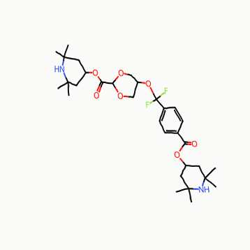 CC1(C)CC(OC(=O)c2ccc(C(F)(F)OC3COC(C(=O)OC4CC(C)(C)NC(C)(C)C4)OC3)cc2)CC(C)(C)N1